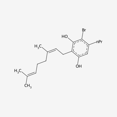 CCCc1cc(O)c(CC=C(C)CCC=C(C)C)c(O)c1Br